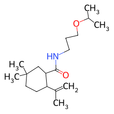 C=C(C)C1CCC(C)(C)CC1C(=O)NCCCOC(C)C